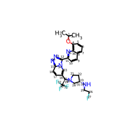 CC(C)Oc1cccc2ccc(-c3nnc4ccc([C@@H](N5CC[C@H](NCCF)C5)C(F)(F)F)cn34)nc12